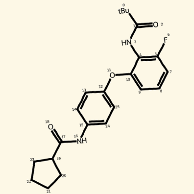 CC(C)(C)C(=O)Nc1c(F)cccc1Oc1ccc(NC(=O)C2CCCC2)cc1